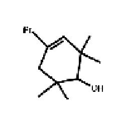 CC(C)C1=CC(C)(C)C(O)C(C)(C)C1